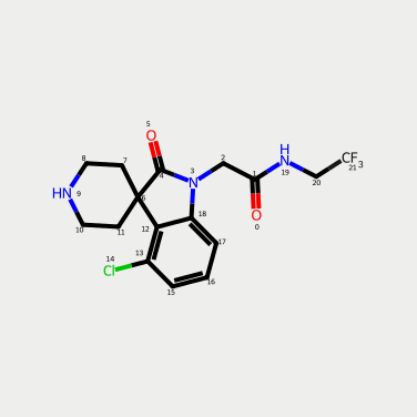 O=C(CN1C(=O)C2(CCNCC2)c2c(Cl)cccc21)NCC(F)(F)F